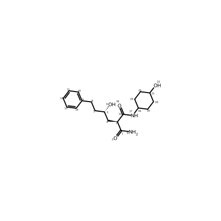 NC(=O)[C@@H](C[C@@H](O)[CH]Cc1ccccc1)C(=O)NC1CCC(O)CC1